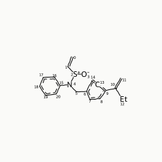 C=C[S+]([O-])N(Cc1ccc(C(=C)CC)cc1)c1ccccc1